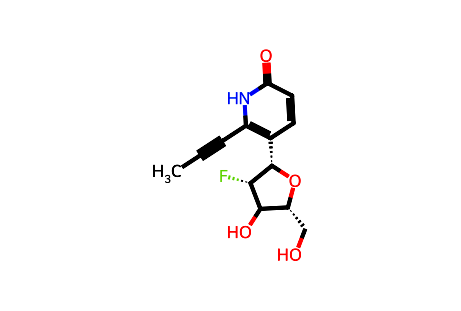 CC#Cc1[nH]c(=O)ccc1[C@@H]1O[C@H](CO)C(O)[C@@H]1F